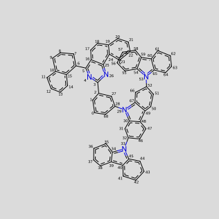 c1cc(-c2nc(-c3cccc4ccccc34)c3ccc4ccccc4c3n2)cc(-n2c3cc(-n4c5ccccc5c5ccccc54)ccc3c3ccc(-n4c5ccccc5c5ccccc54)cc32)c1